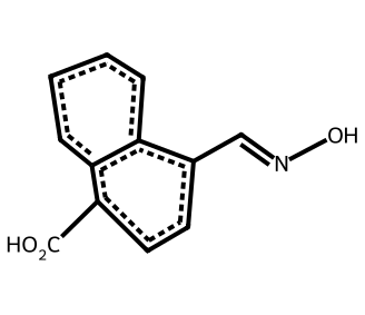 O=C(O)c1ccc(C=NO)c2ccccc12